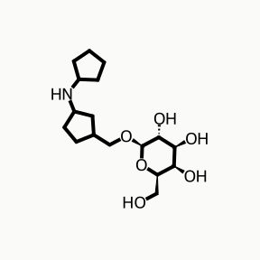 OC[C@H]1O[C@@H](OCC2CCC(NC3CCCC3)C2)[C@H](O)[C@@H](O)[C@H]1O